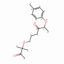 CC(=O)C(C)(C)OCCCC(=O)C(C)Oc1ccc(C)cc1